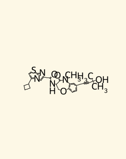 CN1C(=O)C(NC(=O)c2cn3c(C4CCC4)csc3n2)COc2ccc(C#CC(C)(C)O)cc21